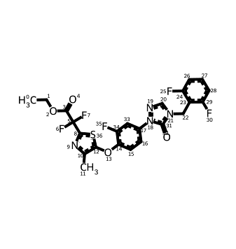 CCOC(=O)C(F)(F)c1nc(C)c(Oc2ccc(-n3ncn(Cc4c(F)cccc4F)c3=O)cc2F)s1